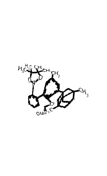 COCOc1c(-c2ccccc2B2OC(C)(C)C(C)(C)O2)cc(C)cc1C12CC3CC(C)(CC(C)(C3)C1)C2